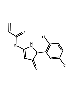 C=CC(=O)Nc1cc(=O)n(-c2cc(Cl)ccc2Cl)[nH]1